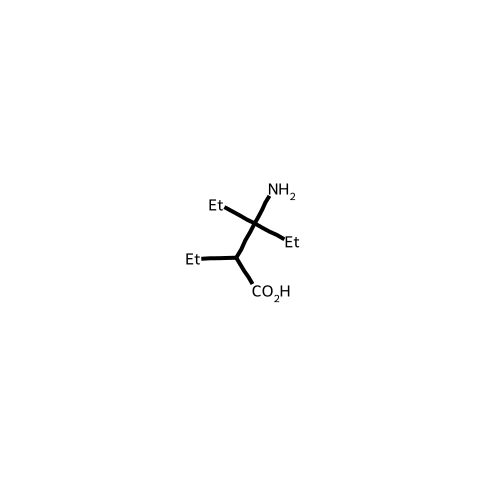 CCC(C(=O)O)C(N)(CC)CC